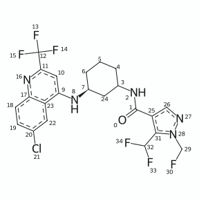 O=C(NC1CCC[C@H](Nc2cc(C(F)(F)F)nc3ccc(Cl)cc23)C1)c1cnn(CF)c1C(F)F